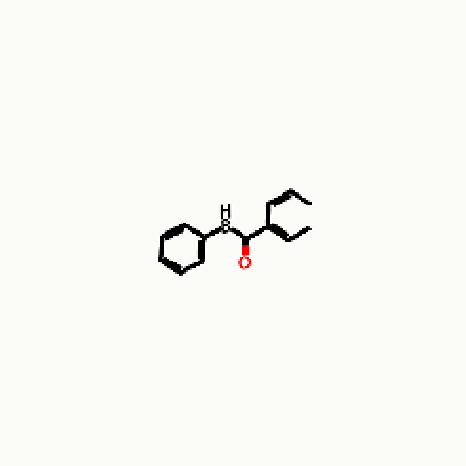 C/C=C\C(=C/C)C(=O)Bc1ccccc1